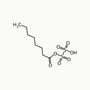 CCCCCCCC(=O)OS(=O)(=O)S(=O)(=O)O